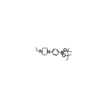 CCN1CCN(c2ccc(B3OC(C)(C)C(C)(CC)O3)cc2)CC1